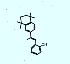 CC(=Cc1ccccc1O)c1ccc2c(c1)C(C)(C)CCC2(C)C